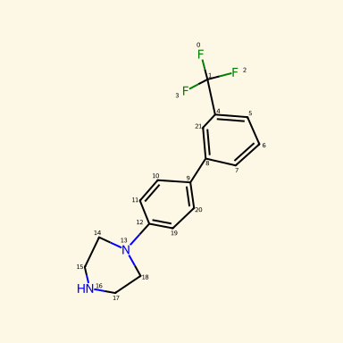 FC(F)(F)c1cccc(-c2ccc(N3CCNCC3)cc2)c1